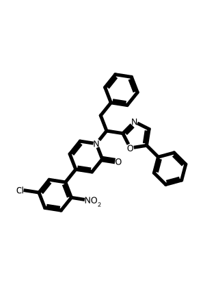 O=c1cc(-c2cc(Cl)ccc2[N+](=O)[O-])ccn1C(Cc1ccccc1)c1ncc(-c2ccccc2)o1